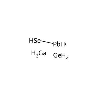 [GaH3].[GeH4].[SeH][PbH]